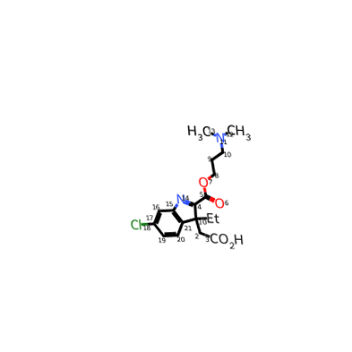 CCC1(CC(=O)O)C(C(=O)OCCCN(C)C)=Nc2cc(Cl)ccc21